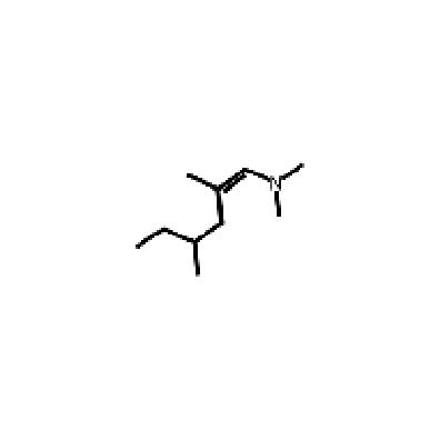 CCC(C)C/C(C)=C\N(C)C